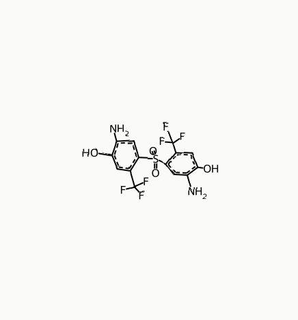 Nc1cc(S(=O)(=O)c2cc(N)c(O)cc2C(F)(F)F)c(C(F)(F)F)cc1O